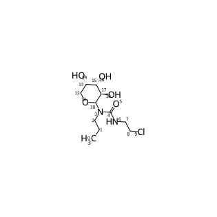 CCCN(C(=O)NCCCl)C1OC[C@H](O)[C@H](O)[C@H]1O